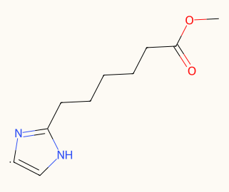 COC(=O)CCCCCc1n[c]c[nH]1